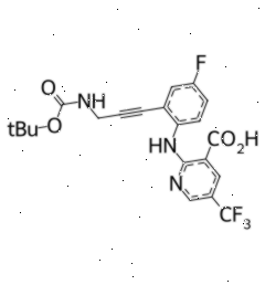 CC(C)(C)OC(=O)NCC#Cc1cc(F)ccc1Nc1ncc(C(F)(F)F)cc1C(=O)O